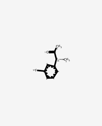 CC(=O)[C@H](C)c1cccc(F)c1